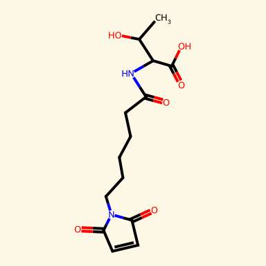 CC(O)C(NC(=O)CCCCCN1C(=O)C=CC1=O)C(=O)O